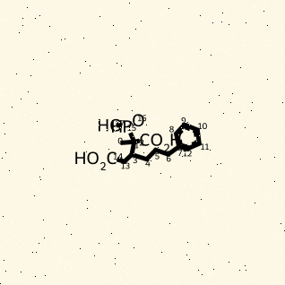 CC(C(=O)O)(C(CCCc1ccccc1)CC(=O)O)[PH](=O)O